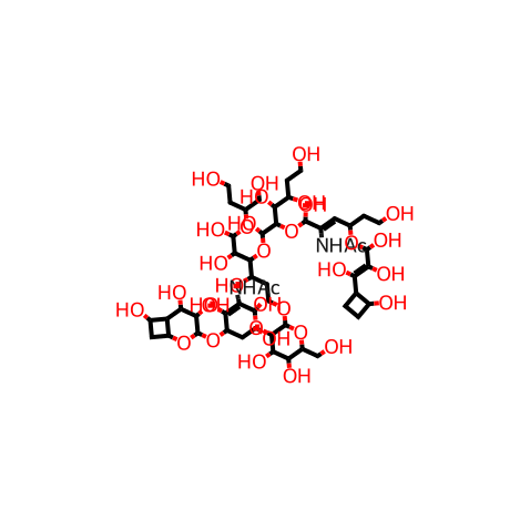 CC(=O)N/C(=C\C(CCO)OC(O)/C(O)=C(\O)C1CCC1O)C(O)OC(C(O)OC(C(O)CCOC1OC(CO)C(O)C(O)C1OC(O)/C(NC(C)=O)=C(/O)C(CCO)OC1OC2CC(O)C2C(O)C1O)C(O)C(O)OC(CO)CCO)C(O)C(O)CCO